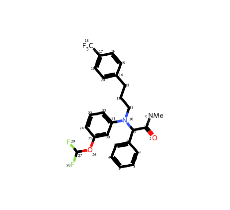 CNC(=O)C(c1ccccc1)N(CCCc1ccc(C(F)(F)F)cc1)c1cccc(OC(F)F)c1